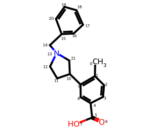 Cc1ccc(C(=O)O)cc1C1CCN(Cc2ccccc2)C1